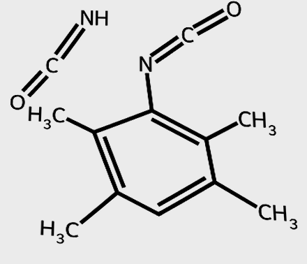 Cc1cc(C)c(C)c(N=C=O)c1C.N=C=O